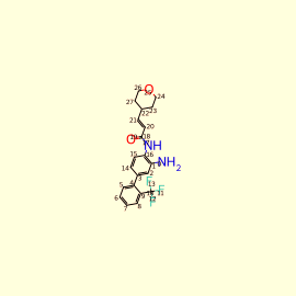 Nc1cc(-c2ccccc2C(F)(F)F)ccc1NC(=O)/C=C/C1CCOCC1